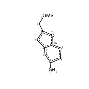 COCc1cc2cc(N)ccc2o1